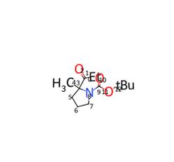 CCC(=O)C1(C)CCCN1C(=O)OC(C)(C)C